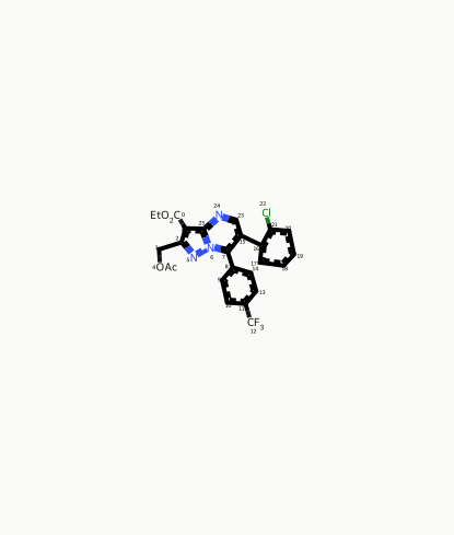 CCOC(=O)c1c(COC(C)=O)nn2c(-c3ccc(C(F)(F)F)cc3)c(-c3ccccc3Cl)cnc12